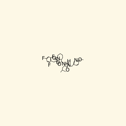 COc1ccc(CNC(=O)C(CC(C)C)NC(=O)C2CCCCN2S(=O)(=O)Cc2c(F)cc(F)cc2F)cn1